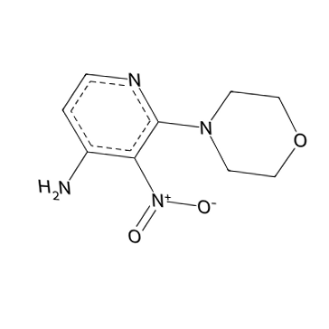 Nc1ccnc(N2CCOCC2)c1[N+](=O)[O-]